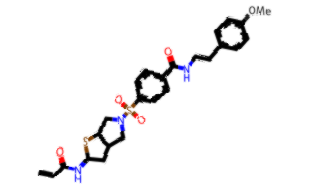 C=CC(=O)NC1CC2CN(S(=O)(=O)c3ccc(C(=O)NCCc4ccc(OC)cc4)cc3)CC2S1